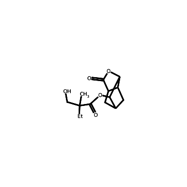 CCC(C)(CO)C(=O)OC1C2CC3C(=O)OC1C3C2